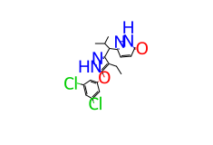 CCc1c(C(c2ccc(=O)[nH]n2)C(C)C)n[nH]c1Oc1cc(Cl)cc(Cl)c1